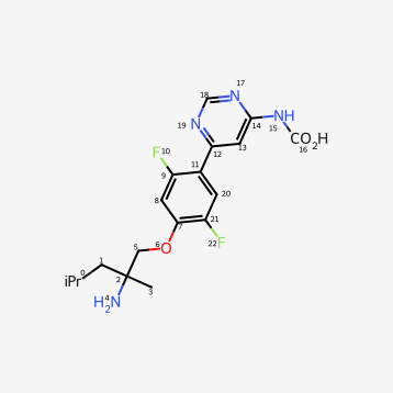 CC(C)CC(C)(N)COc1cc(F)c(-c2cc(NC(=O)O)ncn2)cc1F